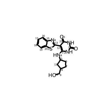 O=c1[nH]c(NC2CCC(CO)C2)c(-c2nc3ccccc3s2)c(=O)[nH]1